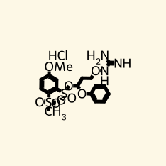 COc1ccc(S(C)(=O)=O)c(S(=O)(=O)OC(CCONC(=N)N)Oc2ccccc2)c1.Cl